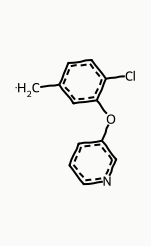 [CH2]c1ccc(Cl)c(Oc2cccnc2)c1